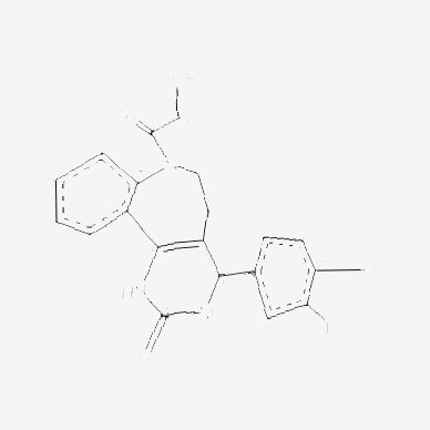 Bc1cc(C2NC(=O)NC3=C2CCN(C(=O)CO)c2ccccc23)ccc1O